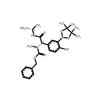 C[C@H](NC(=O)[C@H](c1ccc(O)c(B2OC(C)(C)C(C)(C)O2)c1)N(C)C(=O)OCc1ccccc1)C(=O)O